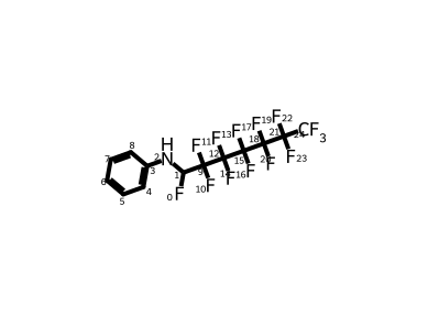 FC(Nc1ccccc1)C(F)(F)C(F)(F)C(F)(F)C(F)(F)C(F)(F)C(F)(F)F